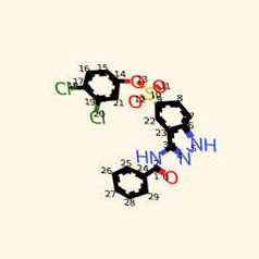 O=C(Nc1n[nH]c2ccc(S(=O)(=O)Oc3ccc(Cl)c(Cl)c3)cc12)c1ccccc1